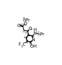 CCCNc1nc(O)c(C(F)(F)F)cc1C(=O)CC(=O)OCCC